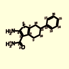 NC(=O)c1c(N)sc2c1CCC(c1ccccc1)C2